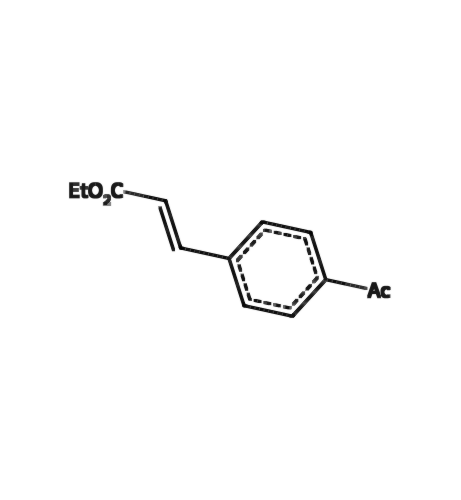 CCOC(=O)C=Cc1ccc(C(C)=O)cc1